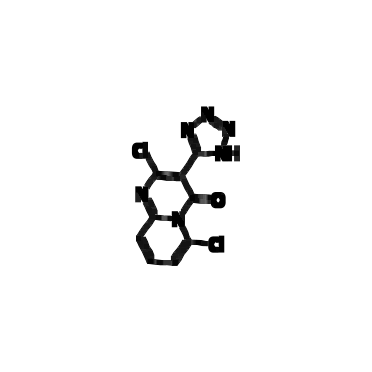 O=c1c(-c2nnn[nH]2)c(Cl)nc2cccc(Cl)n12